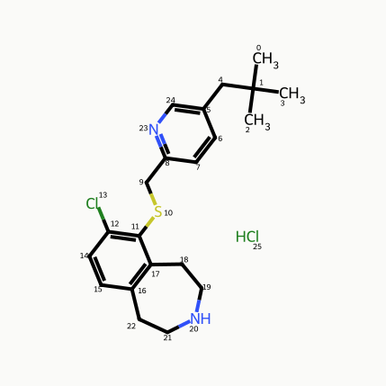 CC(C)(C)Cc1ccc(CSc2c(Cl)ccc3c2CCNCC3)nc1.Cl